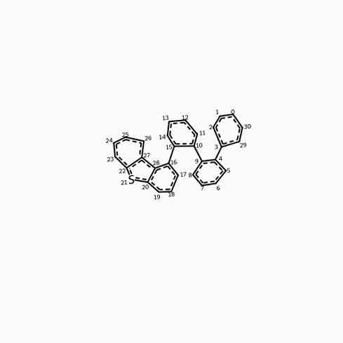 c1ccc(-c2ccccc2-c2ccccc2-c2cccc3sc4ccccc4c23)cc1